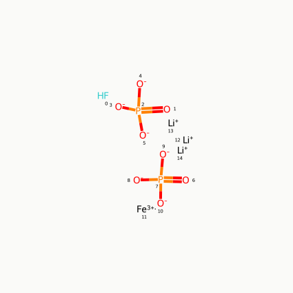 F.O=P([O-])([O-])[O-].O=P([O-])([O-])[O-].[Fe+3].[Li+].[Li+].[Li+]